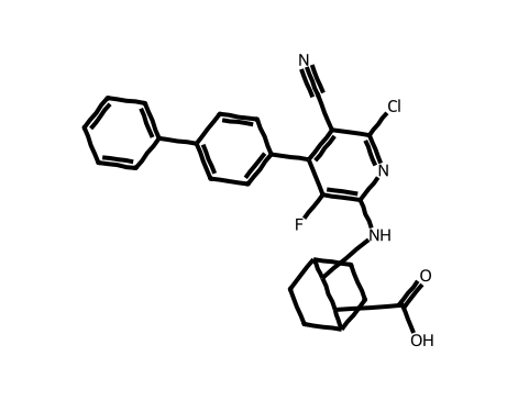 N#Cc1c(Cl)nc(NC2C3CCC(CC3)C2C(=O)O)c(F)c1-c1ccc(-c2ccccc2)cc1